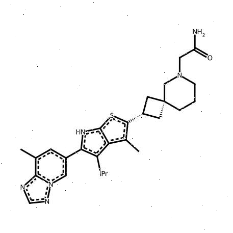 Cc1cc(-c2[nH]c3sc([C@H]4C[C@]5(CCCN(CC(N)=O)C5)C4)c(C)c3c2C(C)C)cn2ncnc12